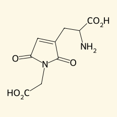 NC(CC1=CC(=O)N(CC(=O)O)C1=O)C(=O)O